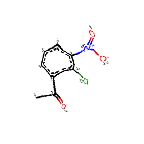 CC(=O)c1cccc([N+](=O)[O-])c1Cl